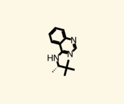 C[C@H](Nc1ncnc2ccccc12)C(C)(C)C